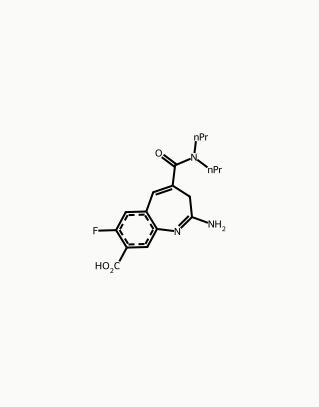 CCCN(CCC)C(=O)C1=Cc2cc(F)c(C(=O)O)cc2N=C(N)C1